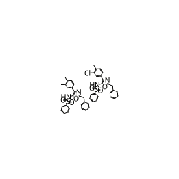 Cc1ccc(-c2nc(Cc3ccccc3)oc2NS(=O)(=O)c2ccccc2)cc1C.Cc1ccc(-c2nc(Cc3ccccc3)oc2NS(=O)(=O)c2ccccc2)cc1Cl